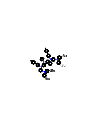 Cc1ccc(-c2ccc(N(c3cccc(-n4c5ccc(C(C)(C)C)cc5c5cc(C(C)(C)C)ccc54)c3)c3ccc4c5c6ccccc6c(N(c6ccc(-c7ccc(C)cc7)cc6)c6ccc(-n7c8ccc(C(C)(C)C)cc8c8cc(C(C)(C)C)ccc87)cc6)cc5n(-c5ccccc5)c4c3)cc2)cc1